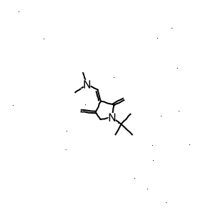 C=C1CN(C(C)(C)C)C(=C)/C1=C/N(C)C